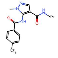 CC(C)NC(=O)c1cnn(C)c1NC(=O)c1ccc(C(F)(F)F)cc1